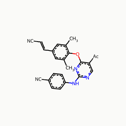 CC(=O)c1cnc(Nc2ccc(C#N)cc2)nc1Oc1c(C)cc(/C=C/C#N)cc1C